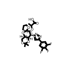 CC(O[C@@H]1[C@@H](n2cc(-c3cc(F)c(F)c(F)c3)nn2)[C@H]2OC(C)(C)OC[C@H]2O[C@@]12CCCO2)C(=O)O